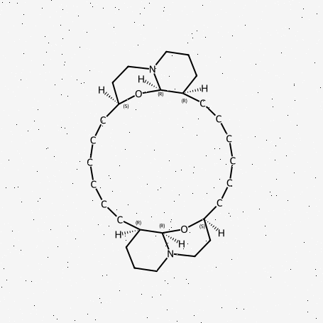 C1CCC[C@@H]2CCCN3CC[C@H](CCCCCC[C@@H]4CCCN5CC[C@H](CC1)O[C@H]45)O[C@H]23